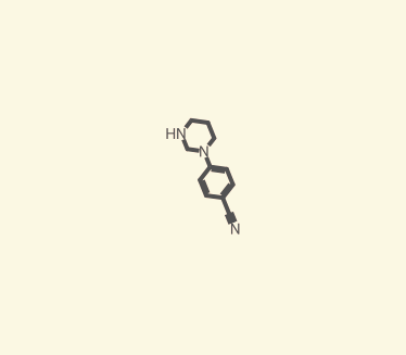 N#Cc1ccc(N2CCCNC2)cc1